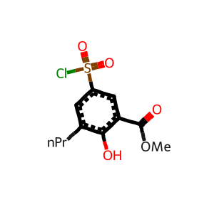 CCCc1cc(S(=O)(=O)Cl)cc(C(=O)OC)c1O